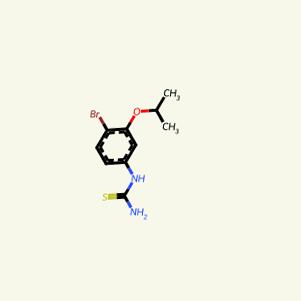 CC(C)Oc1cc(NC(N)=S)ccc1Br